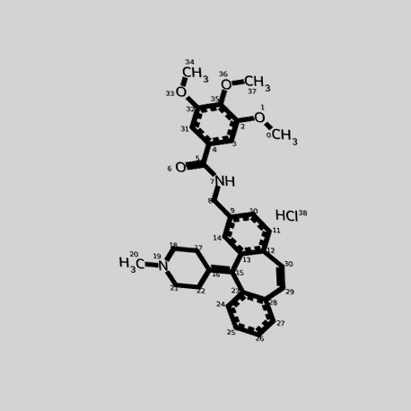 COc1cc(C(=O)NCc2ccc3c(c2)C(=C2CCN(C)CC2)c2ccccc2C=C3)cc(OC)c1OC.Cl